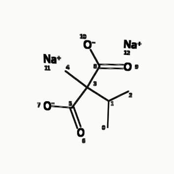 CC(C)C(C)(C(=O)[O-])C(=O)[O-].[Na+].[Na+]